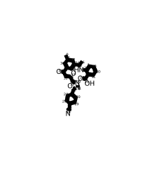 Cc1cc(C(C)Nc2ccccc2C(=O)O)c2oc(-c3nnc(-c4ccc(C#N)cc4)o3)cc(=O)c2c1